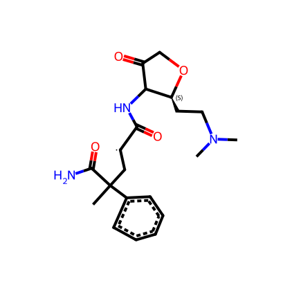 CN(C)CC[C@@H]1OCC(=O)C1NC(=O)[CH]CC(C)(C(N)=O)c1ccccc1